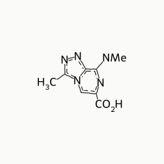 CNc1nc(C(=O)O)cn2c(C)nnc12